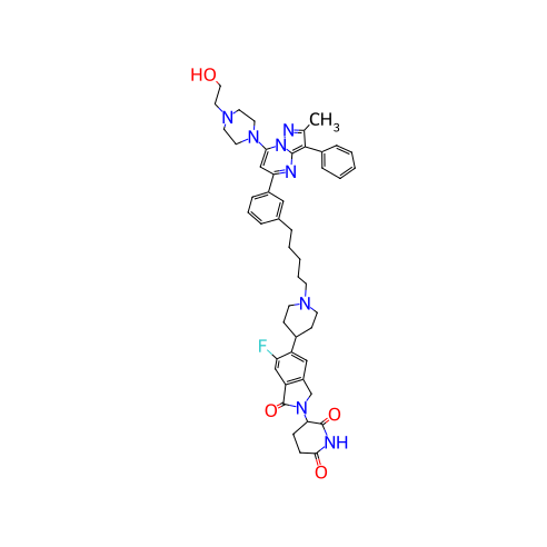 Cc1nn2c(N3CCN(CCO)CC3)cc(-c3cccc(CCCCCN4CCC(c5cc6c(cc5F)C(=O)N(C5CCC(=O)NC5=O)C6)CC4)c3)nc2c1-c1ccccc1